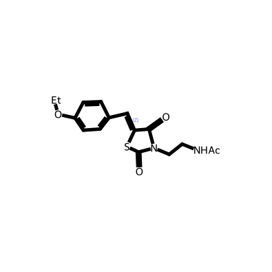 CCOc1ccc(/C=C2\SC(=O)N(CCNC(C)=O)C2=O)cc1